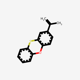 C=C(C)c1ccc2c(c1)Sc1ccccc1O2